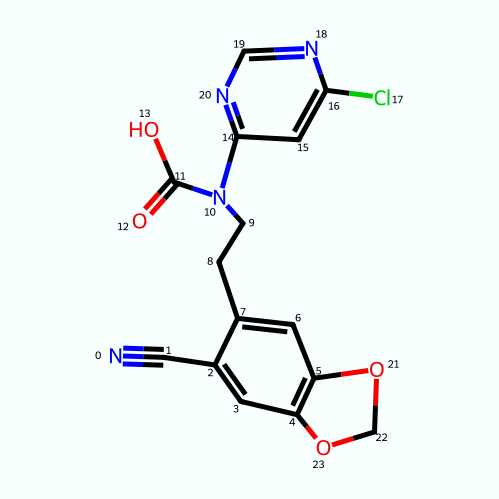 N#Cc1cc2c(cc1CCN(C(=O)O)c1cc(Cl)ncn1)OCO2